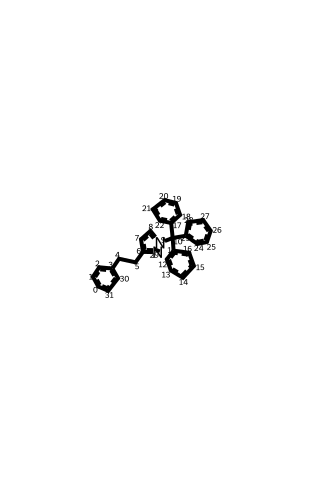 c1ccc(CCc2ccn(C(c3ccccc3)(c3ccccc3)c3ccccc3)n2)cc1